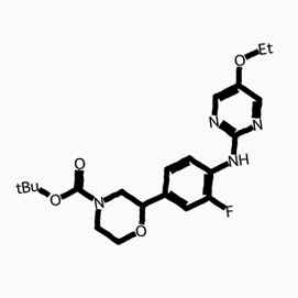 CCOc1cnc(Nc2ccc(C3CN(C(=O)OC(C)(C)C)CCO3)cc2F)nc1